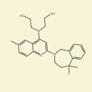 Cc1ccc2nc(N3CCC(F)(F)c4ccccc4C3)cc(N(CCO)CCO)c2c1